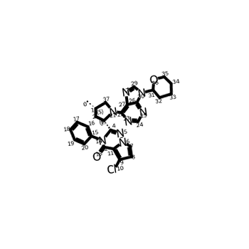 C[C@H]1C[C@@H](c2nn3ccc(Cl)c3c(=O)n2-c2ccccc2)N(c2ncnc3c2ncn3C2CCCCO2)C1